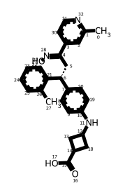 Cc1cc(/C(C[C@H](c2ccc(NC3CC(C(=O)O)C3)cc2)c2ccccc2C)=N/O)ccn1